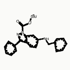 CC(C)(C)OC(=O)n1nc(-c2ccccc2)c2ccc(NCc3ccccc3)cc21